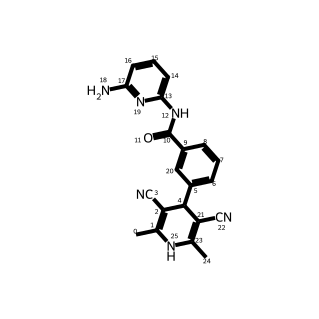 CC1=C(C#N)C(c2cccc(C(=O)Nc3cccc(N)n3)c2)C(C#N)=C(C)N1